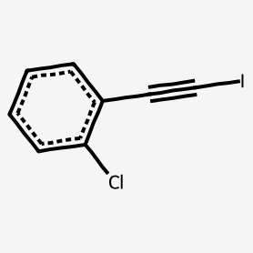 Clc1ccccc1C#CI